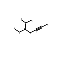 [CH2]C#CCC(CC)C([CH2])C